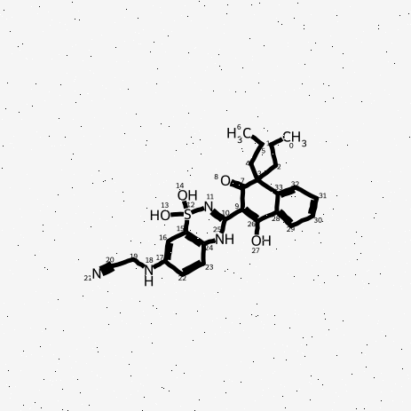 CCCC1(CCC)C(=O)C(C2=NS(O)(O)c3cc(NCC#N)ccc3N2)=C(O)c2ccccc21